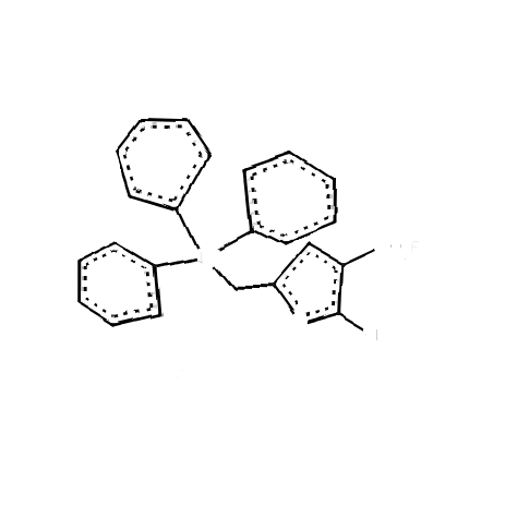 CCOC(=O)c1cc(C[P+](c2ccccc2)(c2ccccc2)c2ccccc2)oc1C.[Cl-]